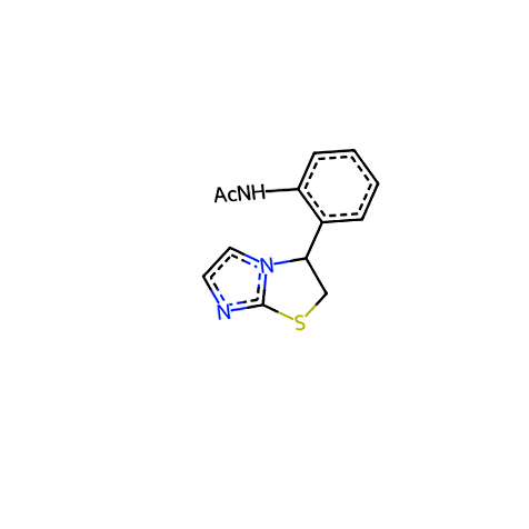 CC(=O)Nc1ccccc1C1CSc2nccn21